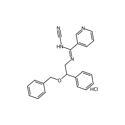 Cl.N#CN/C(=N\CC(OCc1ccccc1)c1ccccc1)c1cccnc1